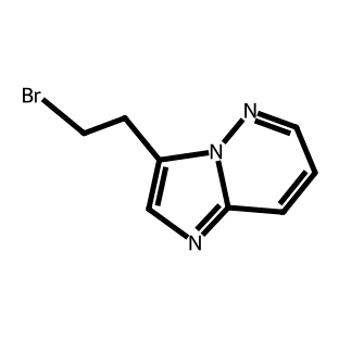 BrCCc1cnc2cccnn12